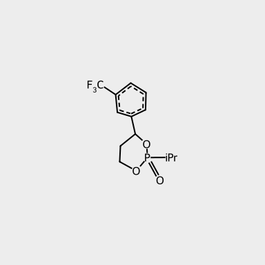 CC(C)P1(=O)OCCC(c2cccc(C(F)(F)F)c2)O1